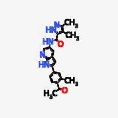 CC(=O)c1ccc(-c2cc3cc(NC(=O)c4[nH]nc(C)c4C)cnc3[nH]2)cc1C